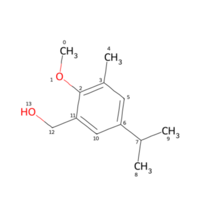 COc1c(C)cc(C(C)C)cc1CO